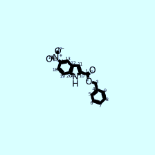 O=C(OCc1ccccc1)c1cc2cc([N+](=O)[O-])ccc2[nH]1